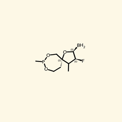 B[C@@H]1O[C@@]2(CCOP(C)OC2)C(C)[C@@H]1F